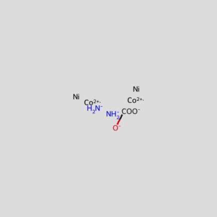 O=C([O-])[O-].[Co+2].[Co+2].[NH2-].[NH2-].[Ni].[Ni]